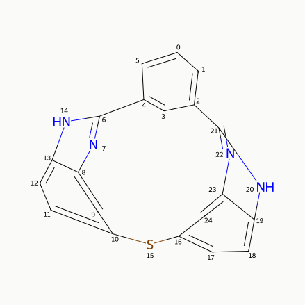 c1cc2cc(c1)-c1nc3cc(ccc3[nH]1)Sc1ccc3[nH]c-2nc3c1